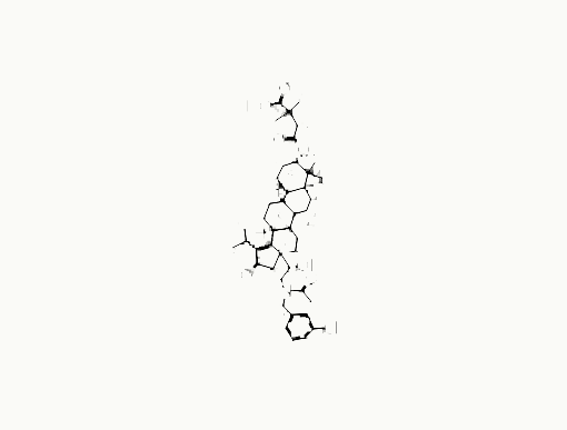 CC(=O)N(Cc1cccc(Cl)c1)C[C@@H](O)[C@@]12CC[C@]3(C)[C@H](CC[C@@H]4[C@@]5(C)CC[C@H](OC(=O)CC(C)(C)C(=O)O)C(C)(C)[C@@H]5CC[C@]43C)C1=C(C(C)C)C(=O)C2